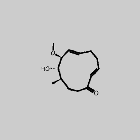 CO[C@H]1/C=C/CC/C=C/C(=O)CC[C@@H](C)[C@@H]1O